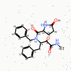 CCNC(=O)C(=O)C(Cc1ccccc1)N(Cc1ccccc1)C(=O)C1CCC(=O)N1